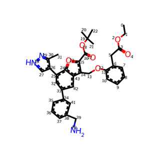 CCOC(=O)Cc1ccccc1OCc1c(C(=O)OC(C)(C)C)oc2c(-c3c[nH]nc3C)cc(-c3cccc(CN)c3)cc12